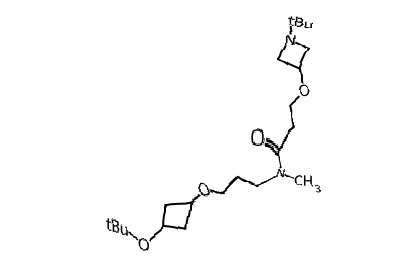 CN(CCCOC1CC(OC(C)(C)C)C1)C(=O)CCOC1CN(C(C)(C)C)C1